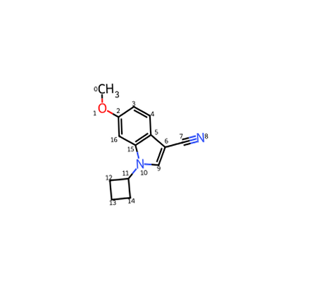 COc1ccc2c(C#N)cn(C3CCC3)c2c1